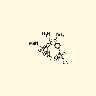 CNCCS(=O)(=O)N(C)[C@@H]1C(=O)N[C@@H](C)C(=O)N[C@H](C(=O)NCC#N)Cc2ccc(OCCN)c(c2)-c2cc1ccc2OCCN